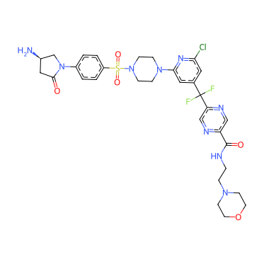 N[C@@H]1CC(=O)N(c2ccc(S(=O)(=O)N3CCN(c4cc(C(F)(F)c5cnc(C(=O)NCCN6CCOCC6)cn5)cc(Cl)n4)CC3)cc2)C1